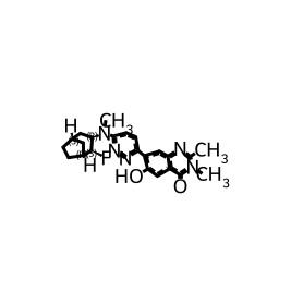 Cc1nc2cc(-c3ccc(N(C)[C@@H]4C[C@H]5CC[C@H](C5)[C@@H]4F)nn3)c(O)cc2c(=O)n1C